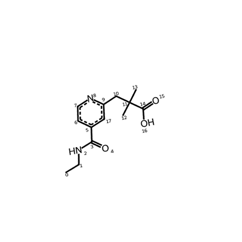 CCNC(=O)c1ccnc(CC(C)(C)C(=O)O)c1